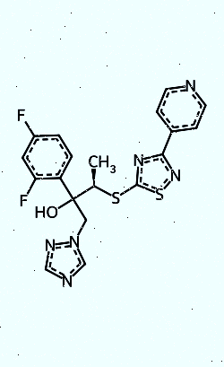 C[C@@H](Sc1nc(-c2ccncc2)ns1)C(O)(Cn1cncn1)c1ccc(F)cc1F